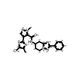 Cc1nc(-c2cnn(C)c2C(=O)NC2CCn3nc(-c4ccccc4)nc3C2)sc1Cl